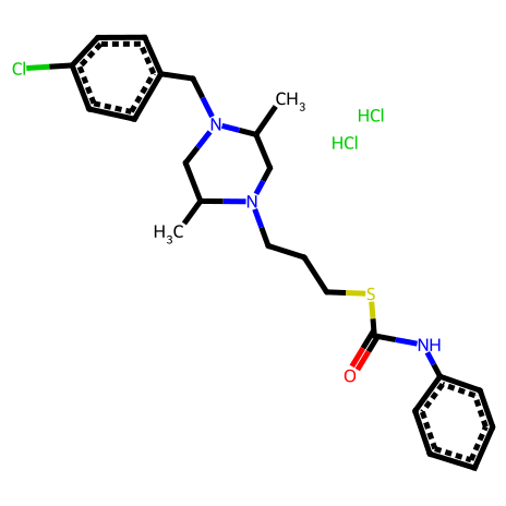 CC1CN(Cc2ccc(Cl)cc2)C(C)CN1CCCSC(=O)Nc1ccccc1.Cl.Cl